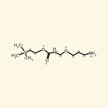 C[Si](C)(C)CCOC(=O)NCOCCCN